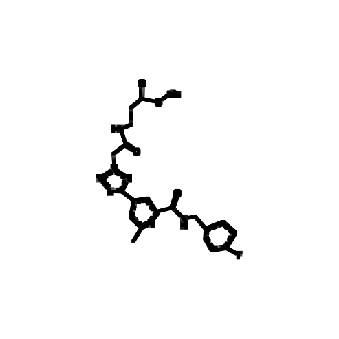 Cc1cc(-c2nnn(CC(=O)NCCC(=O)OC(C)(C)C)n2)cc(C(=O)NCc2ccc(F)cc2)n1